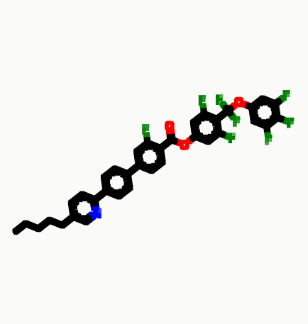 CCCCCc1ccc(-c2ccc(-c3ccc(C(=O)Oc4cc(F)c(C(F)(F)Oc5cc(F)c(F)c(F)c5)c(F)c4)c(F)c3)cc2)nc1